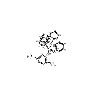 Cc1ccc(C)cc1.O=S(=O)(Oc1ccccc1)S(c1ccccc1)(c1ccccc1)c1ccccc1